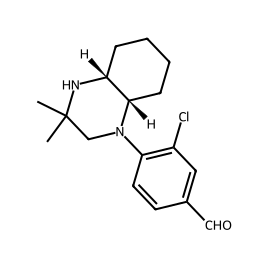 CC1(C)CN(c2ccc(C=O)cc2Cl)[C@H]2CCCC[C@H]2N1